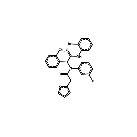 Cc1ccccc1C(C(=O)Nc1ccccc1Br)N(C(=O)Cc1cccs1)c1cccc(F)c1